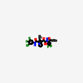 CNC(=O)C1(NC(O)C(=O)c2c(C)c(C(=O)Nc3cc(F)c(F)c(Cl)c3)n3c2CCC3)CC(F)(F)C1